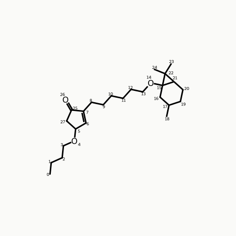 CCCCOC1C=C(CCCCCCOC23CC(C)CCC2C3(C)C)C(=O)C1